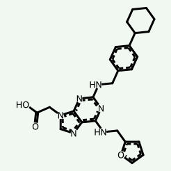 O=C(O)Cn1cnc2c(NCc3ccco3)nc(NCc3ccc(C4CCCCC4)cc3)nc21